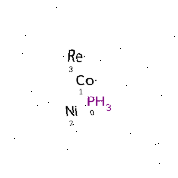 P.[Co].[Ni].[Re]